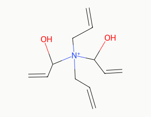 C=CC[N+](CC=C)(C(O)C=C)C(O)C=C